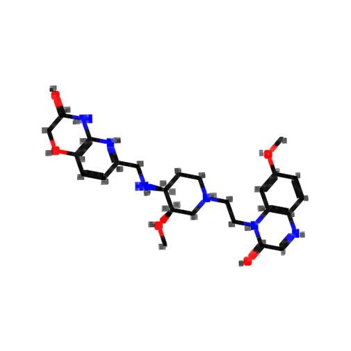 COc1ccc2ncc(=O)n(CCN3CC[C@H](NCc4ccc5c(n4)NC(=O)CO5)[C@H](OC)C3)c2c1